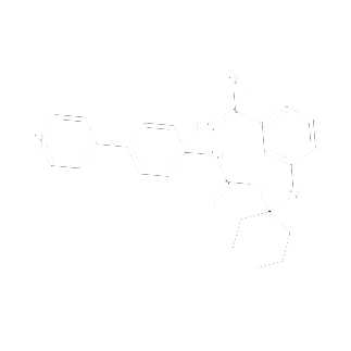 N=C(N)c1cccc(NC2(OC(=O)Nc3ccc(-c4ccncc4)cc3)CCOCC2)c1